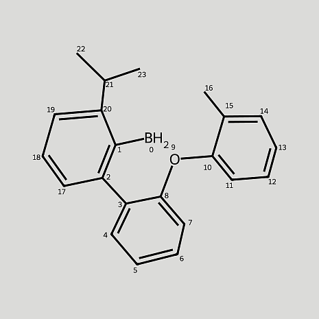 Bc1c(-c2ccccc2Oc2ccccc2C)cccc1C(C)C